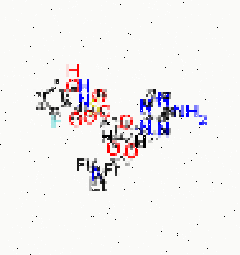 CC1(C)O[C@@H]2[C@H](O1)[C@@H](COS(=O)(=O)NC(=O)c1c(O)cccc1F)O[C@H]2n1cnc2c(N)ncnc21.CCN(CC)CC